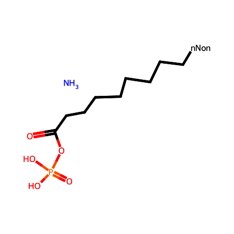 CCCCCCCCCCCCCCCCCC(=O)OP(=O)(O)O.N